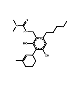 CCCCCc1cc(O)c(C2C=C(C)CCC2)c(O)c1CNC(=O)N(C)C